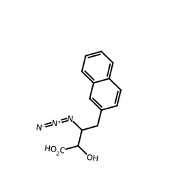 [N-]=[N+]=NC(Cc1ccc2ccccc2c1)C(O)C(=O)O